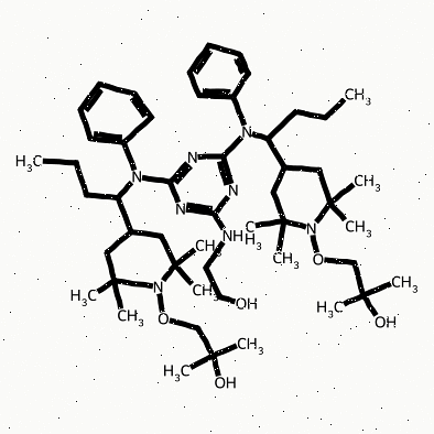 CCCC(C1CC(C)(C)N(OCC(C)(C)O)C(C)(C)C1)N(c1ccccc1)c1nc(NCCO)nc(N(c2ccccc2)C(CCC)C2CC(C)(C)N(OCC(C)(C)O)C(C)(C)C2)n1